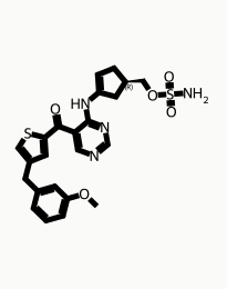 COc1cccc(Cc2csc(C(=O)c3cncnc3NC3=CC[C@@H](COS(N)(=O)=O)C3)c2)c1